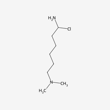 CN(C)CCCCCC(N)Cl